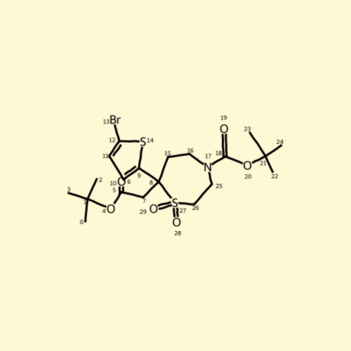 CC(C)(C)OC(=O)CC1(c2ccc(Br)s2)CCN(C(=O)OC(C)(C)C)CCS1(=O)=O